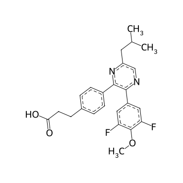 COc1c(F)cc(-c2ncc(CC(C)C)nc2-c2ccc(CCC(=O)O)cc2)cc1F